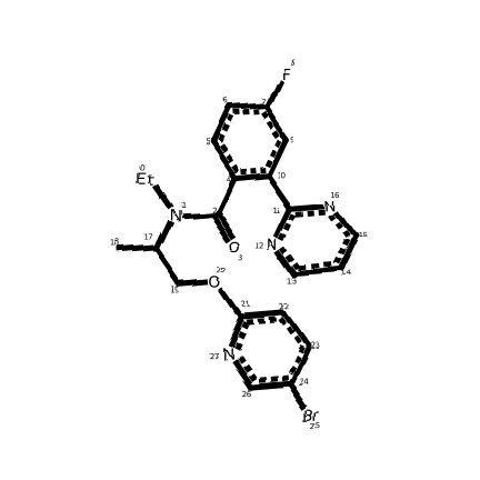 CCN(C(=O)c1ccc(F)cc1-c1ncccn1)C(C)COc1ccc(Br)cn1